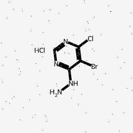 Cl.NNc1ncnc(Cl)c1Br